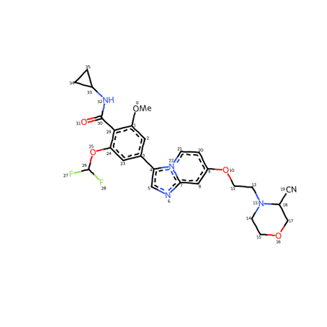 COc1cc(-c2cnc3cc(OCCN4CCOCC4C#N)ccn23)cc(OC(F)F)c1C(=O)NC1CC1